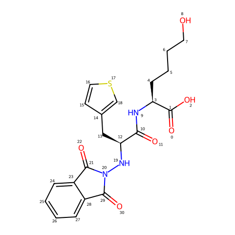 O=C(O)[C@H](CCCCO)NC(=O)[C@H](Cc1ccsc1)NN1C(=O)c2ccccc2C1=O